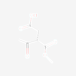 COC(=O)C(CC(=O)O)C(C)=O